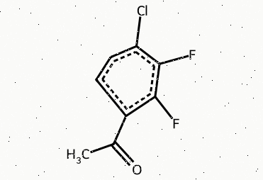 CC(=O)c1ccc(Cl)c(F)c1F